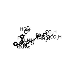 CC(=O)N(CC[C@H](N)C(=O)NCCNC(=O)CNC(=O)CC(SC[C@H](N)C(=O)O)C(=O)O)[C@@H](c1cc(-c2cc(F)ccc2F)cn1Cc1ccccc1)C(C)(C)C.O=C(O)C(F)(F)F